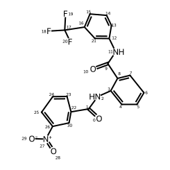 O=C(Nc1ccccc1C(=O)Nc1cccc(C(F)(F)F)c1)c1cccc([N+](=O)[O-])c1